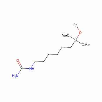 CCO[Si](CCCCCCNC(N)=O)(OC)OC